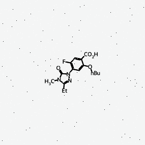 CCCCOc1cc(-n2nc(CC)n(C)c2=O)c(F)cc1C(=O)O